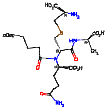 CCCCCCCCCCCCCC(=O)N([C@H](CCC(N)=O)C(=O)O)[C@H](CSC[C@H](N)C(=O)O)C(=O)N[C@H](C)C(=O)O